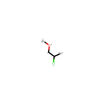 [2H]C(Cl)COCC